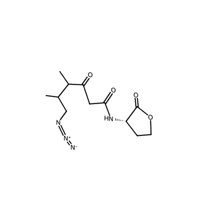 CC(CN=[N+]=[N-])C(C)C(=O)CC(=O)N[C@H]1CCOC1=O